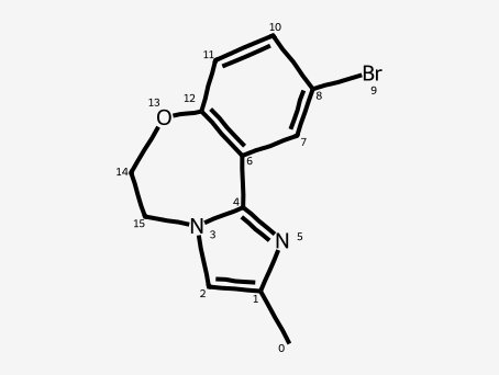 Cc1cn2c(n1)-c1cc(Br)ccc1OCC2